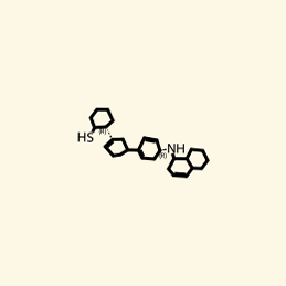 SC1CCCC[C@@H]1C1=CCCC(C2=CC[C@@H](NC3CC=CC4CCCCC43)C=C2)C1